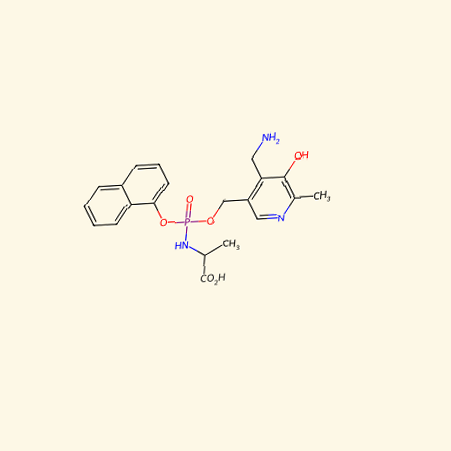 Cc1ncc(COP(=O)(NC(C)C(=O)O)Oc2cccc3ccccc23)c(CN)c1O